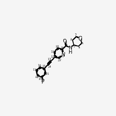 O=C(NC1CCOCC1)c1ccc(C#Cc2cccc(F)c2)cn1